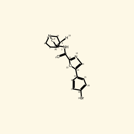 O=C(N[C@H]1CN2CCC1CC2)c1ncc(-c2ccc(Br)cc2)o1